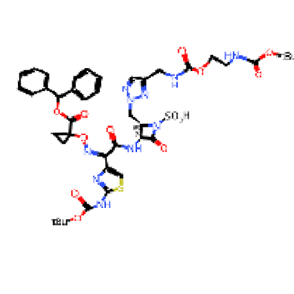 CC(C)(C)OC(=O)NCCOC(=O)NCc1cnn(C[C@@H]2[C@H](NC(=O)C(=NOC3(C(=O)OC(c4ccccc4)c4ccccc4)CC3)c3csc(NC(=O)OC(C)(C)C)n3)C(=O)N2S(=O)(=O)O)n1